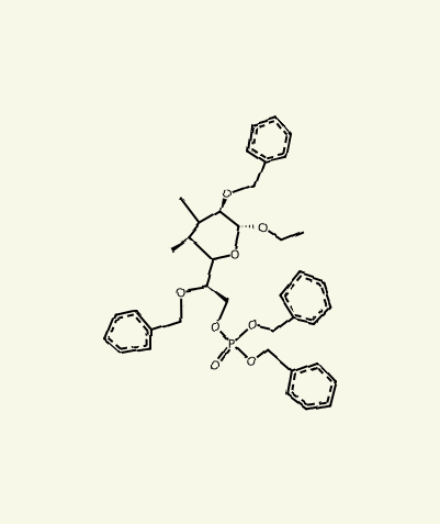 CCO[C@@H]1OC([C@@H](COP(=O)(OCc2ccccc2)OCc2ccccc2)OCc2ccccc2)[C@@H](C)C(C)[C@H]1OCc1ccccc1